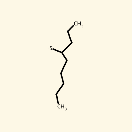 CCCCCC([S])CCC